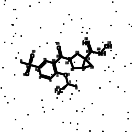 C[C@H](Oc1ccc(S(C)(=O)=O)cc1C(=O)N1CC2CC2(C(=N)NO)C1)C(F)(F)F